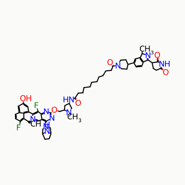 C#Cc1c(F)ccc2cc(O)cc(-c3ncc4c(N5CC6CCC(C5)N6)nc(OCC5C[C@@H](NC(=O)CCCCCCCCCCC(=O)N6CCC(c7ccc8c(c7)C(C)N=C8C7CCC(=O)NC7=O)CC6)CN5C)nc4c3F)c12